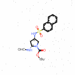 CC(C)(C)OC(=O)N1C[C@H](NS(=O)(=O)c2ccc3ccccc3c2)C[C@H]1NC=O